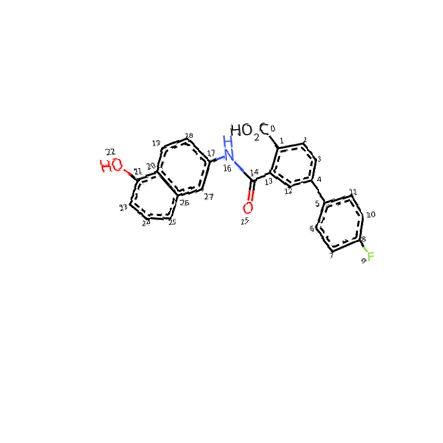 O=C(O)c1ccc(-c2ccc(F)cc2)cc1C(=O)Nc1ccc2c(O)cccc2c1